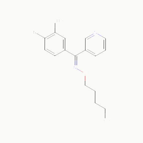 O=Cc1cc(/C(=N/OCCCCC(=O)O)c2cccnc2)ccc1[N+](=O)[O-]